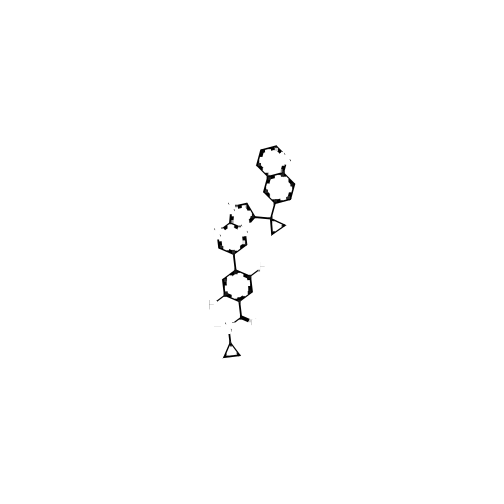 O=C(NC1CC1)c1cc(F)c(-c2cnc3ncc(C4(c5ccc6ncccc6c5)CC4)n3c2)cc1F